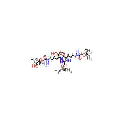 CC(C)OCC(=O)NCCCCC(NC(=O)COC(C)C)C(=O)NC(CCCCNC(=O)COC(C)(C)CO)C(=O)O